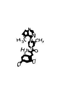 C[C@@H]1CCc2ncnc(N3CCN(C(=O)[C@H](N)Cc4ccc(Cl)cc4Cl)C[C@@H]3C)c21